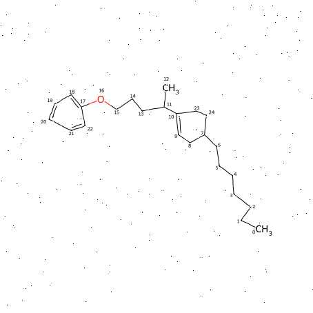 CCCCCCCC1CC=C(C(C)CCCOc2ccccc2)CC1